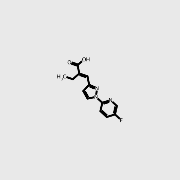 CC/C(=C\c1ccn(-c2ccc(F)cn2)n1)C(=O)O